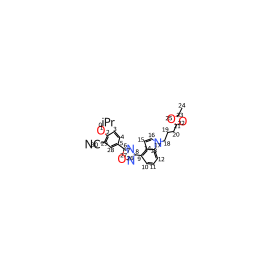 CC(C)Oc1ccc(-c2nc(-c3cccc4c3ccn4CCCC3OC(C)O3)no2)cc1C#N